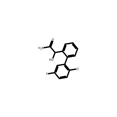 NC(=O)C(O)c1ccccc1-c1cc(F)ccc1Cl